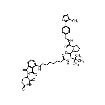 Cc1ncsc1-c1ccc(CNC(=O)C2CCCN2C(=O)[C@@H](NC(=O)CCCCCCNc2cccc3c2C(=O)N(C2CCC(=O)NC2=O)C3=O)C(C)(C)C)cc1